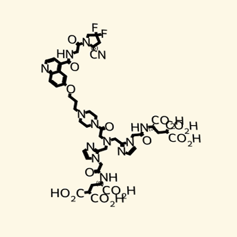 N#C[C@@H]1CC(F)(F)CN1C(=O)CNC(=O)c1ccnc2ccc(OCCCN3CCN(C(=O)CN(Cc4nccn4CC(=O)N[C@@H](CC(C(=O)O)C(=O)O)C(=O)O)Cc4nccn4CC(=O)N[C@@H](CC(C(=O)O)C(=O)O)C(=O)O)CC3)cc12